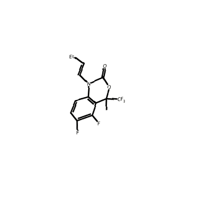 CCC=CN1C(=O)OC(C)(C(F)(F)F)c2c1ccc(F)c2F